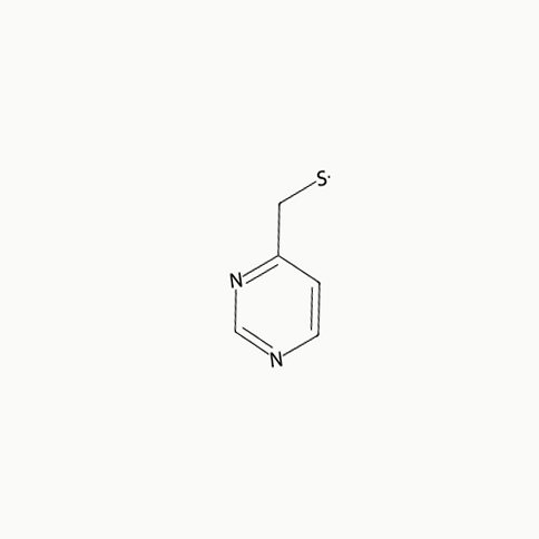 [S]Cc1ccncn1